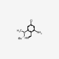 CC[C@@H](C)CN(C)c1cc(Cl)cc(N)c1C=N